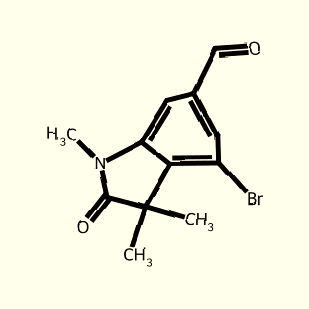 CN1C(=O)C(C)(C)c2c(Br)cc(C=O)cc21